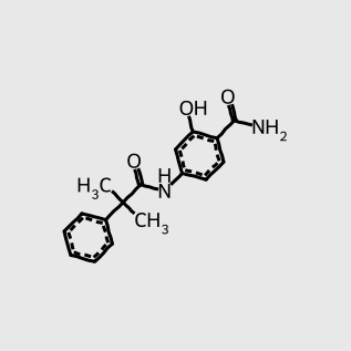 CC(C)(C(=O)Nc1ccc(C(N)=O)c(O)c1)c1ccccc1